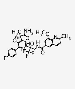 COc1cc(C(=O)NCC(O)(c2cc3c(c(-c4ccc(F)cc4)n2)OC[C@]3(C)C(N)=O)C(F)(F)F)cc2ccc(C)nc12